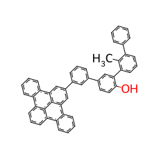 Cc1c(-c2ccccc2)cccc1-c1cc(-c2cccc(-c3cc4c5ccccc5c5cccc6c7ccccc7c(c3)c4c56)c2)ccc1O